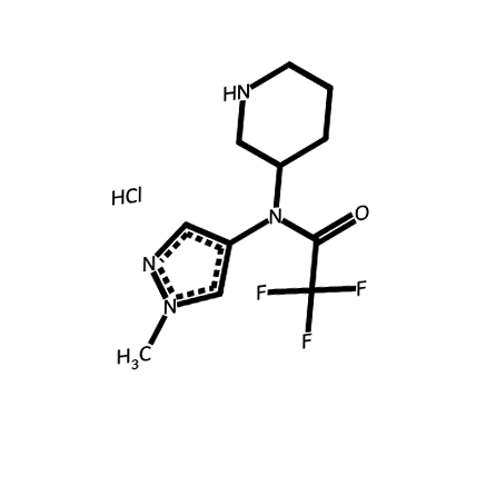 Cl.Cn1cc(N(C(=O)C(F)(F)F)C2CCCNC2)cn1